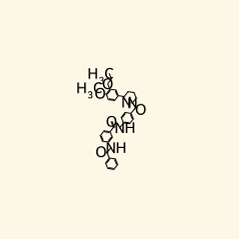 CCOc1cc(C2=NN(C(=O)c3ccc(NC(=O)c4cccc(NC(=O)c5ccccc5)c4)cc3)CCC2)ccc1OC